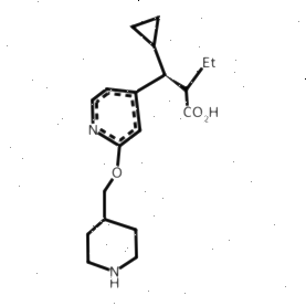 CCC(C(=O)O)[C@@H](c1ccnc(OCC2CCNCC2)c1)C1CC1